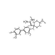 CN/C(N)=N\C1(Cc2ccc(-c3ccc(F)c(Cl)c3)cc2C)CCC(OC)CC1